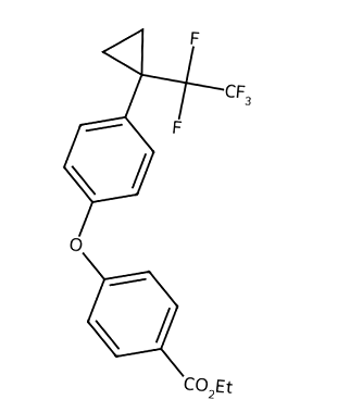 CCOC(=O)c1ccc(Oc2ccc(C3(C(F)(F)C(F)(F)F)CC3)cc2)cc1